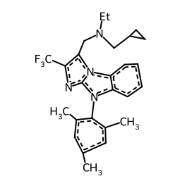 CCN(Cc1c(C(F)(F)F)nc2n(-c3c(C)cc(C)cc3C)c3ccccc3n12)CC1CC1